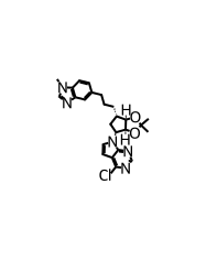 Cn1cnc2cc(CCC[C@H]3C[C@@H](n4ccc5c(Cl)ncnc54)[C@@H]4OC(C)(C)O[C@H]34)ccc21